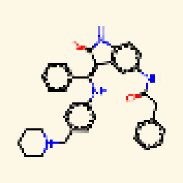 O=C(Cc1ccccc1)Nc1ccc2c(c1)C(=C(Nc1ccc(CN3CCCCC3)cc1)c1ccccc1)C(=O)N2